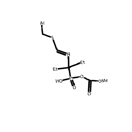 CCC(CC)(N=CSCC(C)=O)P(=O)(O)OC(=O)OC